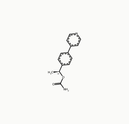 C[C@H](OC(N)=O)c1ccc(-c2ccncc2)cc1